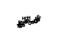 Cc1nn(C)c(C(=O)NC23CCC(NC(=O)COc4ccc5c(c4)OC(F)(F)O5)(CC2)C(O)C3)c1F